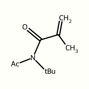 C=C(C)C(=O)N(C(C)=O)C(C)(C)C